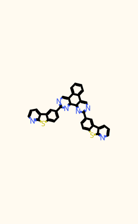 c1cnc2sc3ccc(-c4ncc5c6ccccc6c6cnc(-c7ccc8sc9ncccc9c8c7)nc6c5n4)cc3c2c1